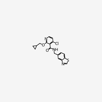 O=C(NCc1ccc2scnc2c1)c1c(Cl)ccnc1OCC1CC1